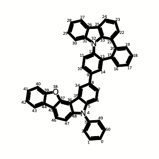 c1ccc(-n2c3ccc(-c4ccc5c(c4)-c4ccccc4-c4cccc6c7ccccc7n-5c46)cc3c3c4oc5ccccc5c4ccc32)cc1